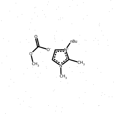 CCCC[n+]1ccn(C)c1C.COC(=O)[O-]